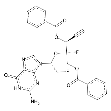 C#C[C@H](OC(=O)c1ccccc1)[C@@](F)(COC(=O)c1ccccc1)O[C@H](CF)n1cnc2c(=O)[nH]c(N)nc21